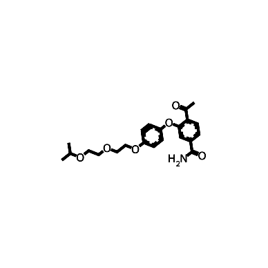 CC(=O)c1ccc(C(N)=O)cc1Oc1c#cc(OCCOCCOC(C)C)cc1